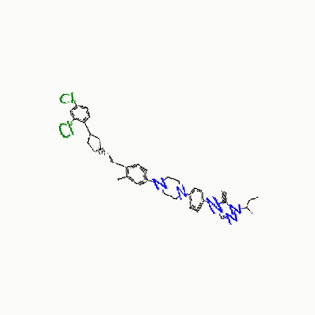 C=C1N(c2ccc(N3CCN(c4ccc(CC[C@@H]5CCC(c6ccc(Cl)cc6Cl)C5)c(C)c4)CC3)cc2)C=NN1C(C)CC